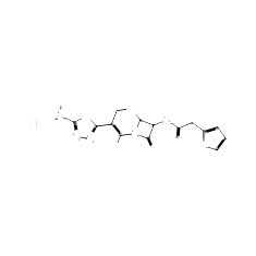 CN(C)c1nnc(C2=C(C(=O)O)N3C(=O)C(NC(=O)Cc4cccs4)[C@@H]3SC2)s1